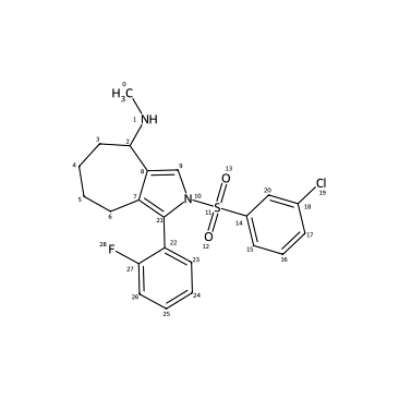 CNC1CCCCc2c1cn(S(=O)(=O)c1cccc(Cl)c1)c2-c1ccccc1F